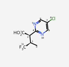 C[C@H]([C@@H](C(=O)O)c1ncc(Cl)cn1)C(F)(F)F